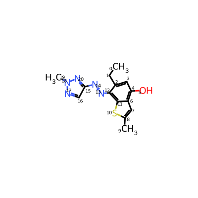 CCc1cc(O)c2cc(C)sc2c1/N=N/c1cnn(C)n1